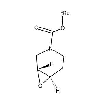 CC(C)(C)OC(=O)N1CC[C@H]2O[C@@H]2C1